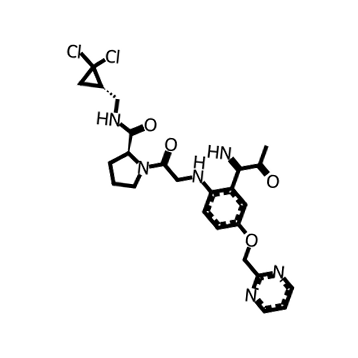 CC(=O)C(=N)c1cc(OCc2ncccn2)ccc1NCC(=O)N1CCC[C@H]1C(=O)NC[C@@H]1CC1(Cl)Cl